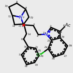 CC(=O)c1cn(CCCN2C3CCC2CC(CCc2ccccc2)C3)c2c(Cl)cccc12